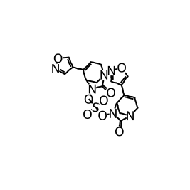 O=C1N2CC=C(c3cnoc3)C(C2)N1OS(=O)(=O)ON1C(=O)N2CC=C(c3cnoc3)C1C2